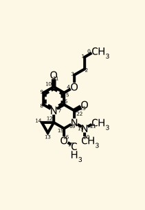 CCCCOc1c2n(ccc1=O)C1(CC1)C(OC)N(N(C)C)C2=O